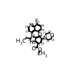 CCc1nc2c(C(=O)OC)cc(N3CCOCC3)cc2n1-c1ccnc2c(F)ccc(Cl)c12